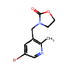 Cc1ncc(Br)cc1CN1CCOC1=O